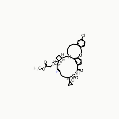 COC(=O)CO[C@H]1/C=C/CC[C@H](C2CC2)S(=O)(=O)NC(=O)c2ccc3c(c2)N(CCCCc2cc(Cl)ccc2CO3)C[C@@H]2CC[C@H]21